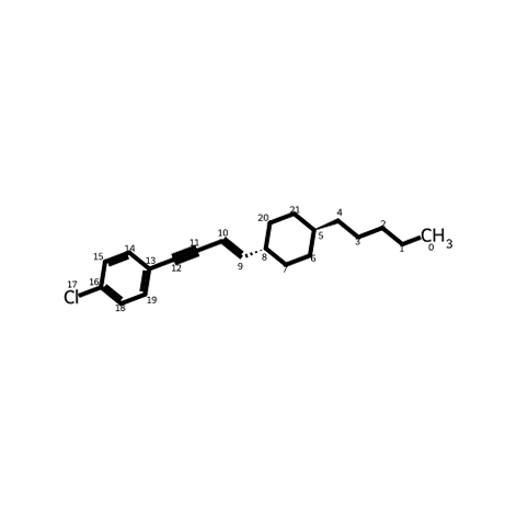 CCCCC[C@H]1CC[C@H](C=CC#Cc2ccc(Cl)cc2)CC1